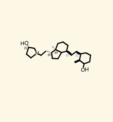 C=C1/C(=C\C=C2/CCC[C@@]3(C)C2CC[C@@H]3CCN2CC[C@H](O)C2)CCCC1O